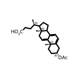 CC(=O)O[C@@H]1CC[C@@]2(C)C(=CC=C3C2=CC[C@@]2(C)C3CCC2[C@H](C)CCC(=O)O)C1